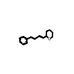 [C]1CCOC(CCCCc2ccccc2)C1